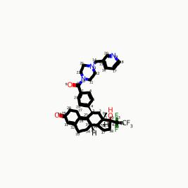 C[C@]12C[C@H](c3ccc(C(=O)N4CCN(Cc5cccnc5)CC4)cc3)C3=C4CCC(=O)C=C4CC[C@H]3[C@@H]1CC[C@@]2(O)C(F)(F)C(F)(F)F